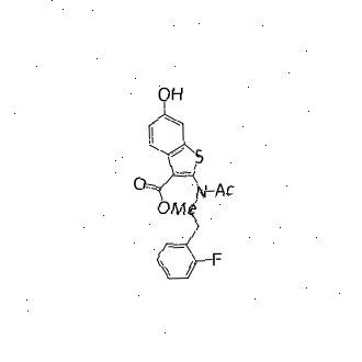 COC(=O)c1c(N(CCc2ccccc2F)C(C)=O)sc2cc(O)ccc12